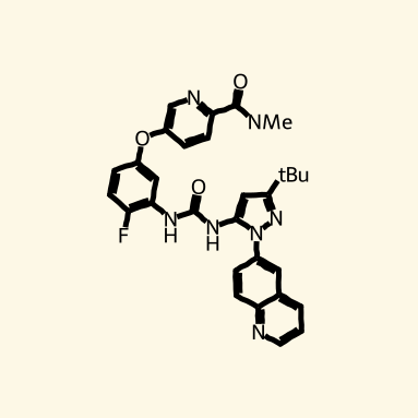 CNC(=O)c1ccc(Oc2ccc(F)c(NC(=O)Nc3cc(C(C)(C)C)nn3-c3ccc4ncccc4c3)c2)cn1